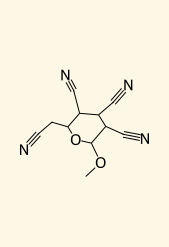 COC1OC(CC#N)C(C#N)C(C#N)C1C#N